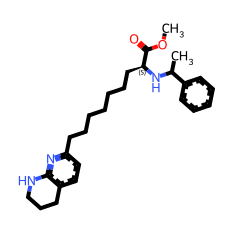 COC(=O)[C@H](CCCCCCCc1ccc2c(n1)NCCC2)NC(C)c1ccccc1